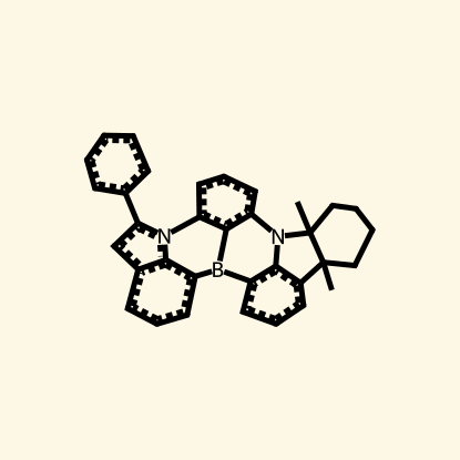 CC12CCCCC1(C)N1c3cccc4c3B(c3cccc2c31)c1cccc2cc(-c3ccccc3)n-4c12